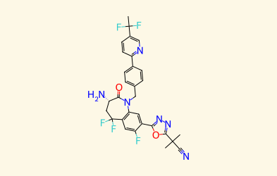 CC(F)(F)c1ccc(-c2ccc(CN3C(=O)[C@@H](N)CC(F)(F)c4cc(F)c(-c5nnc(C(C)(C)C#N)o5)cc43)cc2)nc1